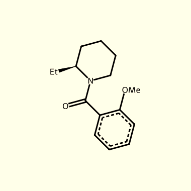 CC[C@H]1CCCCN1C(=O)c1ccccc1OC